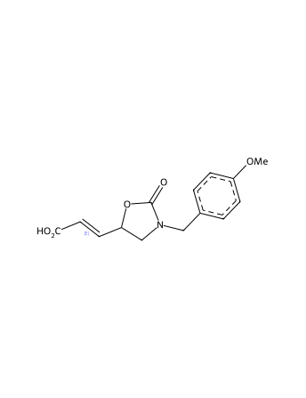 COc1ccc(CN2CC(/C=C/C(=O)O)OC2=O)cc1